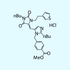 CCCCc1ncc(C=C2C(=O)N(CCCC)C(=O)N2CCc2ccsc2)n1Cc1ccc(C(=O)OC)cc1.Cl